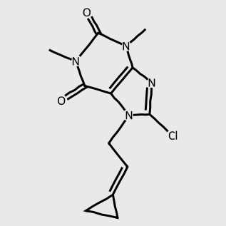 Cn1c(=O)c2c(nc(Cl)n2CC=C2CC2)n(C)c1=O